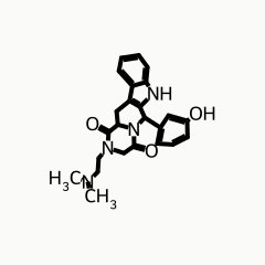 CN(C)CCN1CC(=O)N2C(Cc3c([nH]c4ccccc34)C2c2cccc(O)c2)C1=O